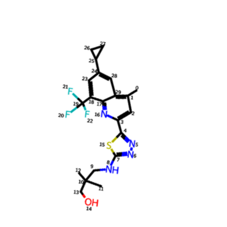 Cc1cc(-c2nnc(NCC(C)(C)CO)s2)nc2c(C(F)(F)F)cc(C3CC3)cc12